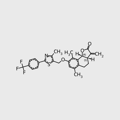 C=C1C(=O)O[C@H]2c3c(C)c(OCc4sc(-c5ccc(C(F)(F)F)cc5)nc4C)cc(C)c3CC[C@@H]12